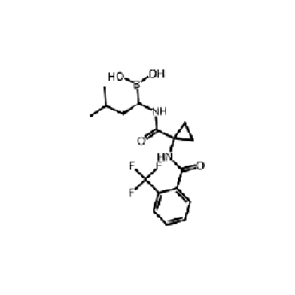 CC(C)C[C@H](NC(=O)C1(NC(=O)c2ccccc2C(F)(F)F)CC1)B(O)O